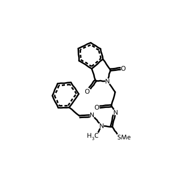 CSC(=NC(=O)CN1C(=O)c2ccccc2C1=O)N(C)N=Cc1ccccc1